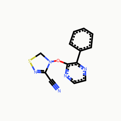 N#CC1=NSCN1Oc1nccnc1-c1ccccc1